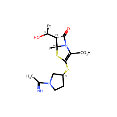 CC[C@H](O)[C@@H]1C(=O)N2C(C(=O)O)=C(S[C@H]3CCN(C(C)=N)C3)S[C@H]12